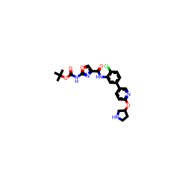 CC(C)(C)OC(=O)Nc1nc(C(=O)Nc2cc(-c3ccc(OC4CCNC4)nc3)ccc2Cl)co1